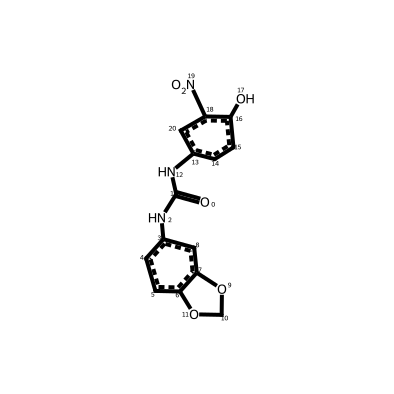 O=C(Nc1ccc2c(c1)OCO2)Nc1ccc(O)c([N+](=O)[O-])c1